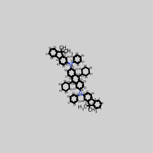 CC1(C)c2ccccc2-c2ccc(N(c3ccccc3)c3ccc4c(C5CCCCC5)c5cc(N(c6ccccc6)c6ccc7c(c6)C(C)(C)c6ccccc6-7)ccc5c(C5CCCCC5)c4c3)cc21